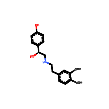 COc1ccc(CCNC[C@@H](O)c2ccc(O)cc2)cc1OC